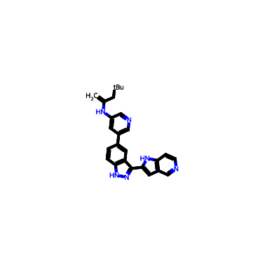 C=C(CC(C)(C)C)Nc1cncc(-c2ccc3[nH]nc(-c4cc5cnccc5[nH]4)c3c2)c1